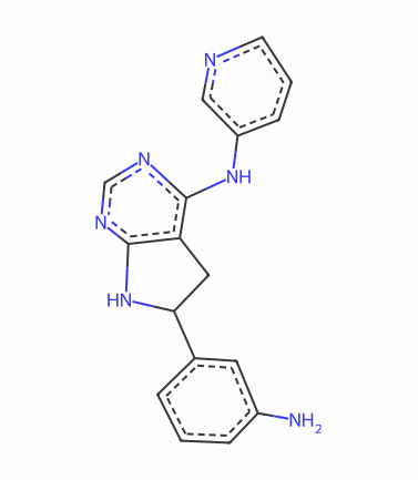 Nc1cccc(C2Cc3c(Nc4cccnc4)ncnc3N2)c1